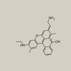 CCNc1cc2c(cc1C)C(c1ccccc1C(=O)O)=c1cc(C)c(=CCN)cc1O2